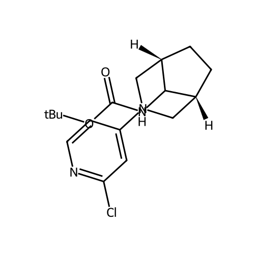 CC(C)(C)OC(=O)NC1[C@@H]2CC[C@H]1CN(c1ccnc(Cl)c1)C2